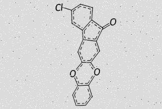 O=c1c2ccc(Cl)cc2c2cc3oc4ccccc4oc3cc12